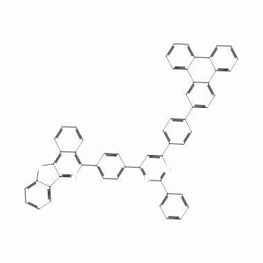 c1ccc(-c2nc(-c3ccc(-c4ccc5c6ccccc6c6ccccc6c5c4)cc3)cc(-c3ccc(-c4nc5c6ccccc6sc5c5ccccc45)cc3)n2)cc1